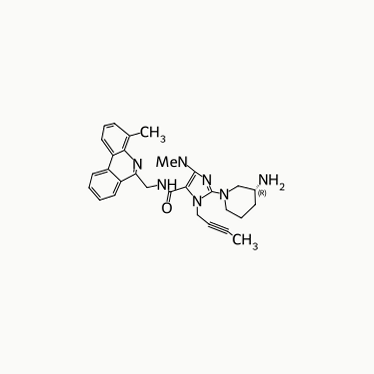 CC#CCn1c(N2CCC[C@@H](N)C2)nc(NC)c1C(=O)NCc1nc2c(C)cccc2c2ccccc12